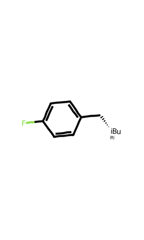 CC[C@@H](C)Cc1ccc(F)cc1